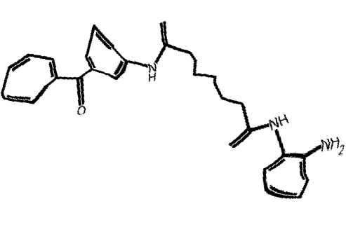 C=C(CCCCCC(=C)Nc1ccccc1N)Nc1cccc(C(=O)c2ccccc2)c1